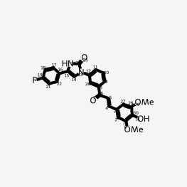 COc1cc(/C=C/C(=O)c2cccc(-n3cc(-c4ccc(F)cc4)[nH]c3=O)c2)cc(OC)c1O